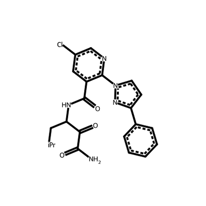 CC(C)CC(NC(=O)c1cc(Cl)cnc1-n1ccc(-c2ccccc2)n1)C(=O)C(N)=O